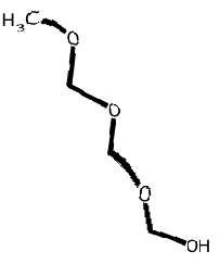 COCOCOCO